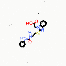 O=C(O)Cn1c(SCCNC(=O)Nc2ccccc2)nc2ccccc21